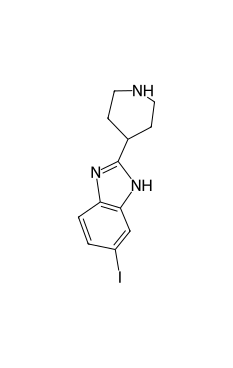 Ic1ccc2nc(C3CCNCC3)[nH]c2c1